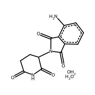 Nc1cccc2c1C(=O)N(C1CCC(=O)NC1=O)C2=O.O.O